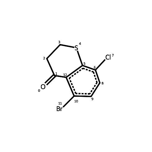 O=C1CCSc2c(Cl)ccc(Br)c21